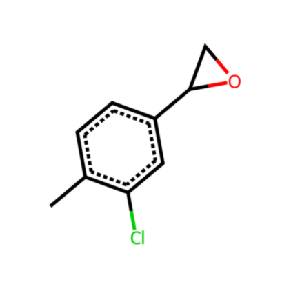 Cc1ccc(C2CO2)cc1Cl